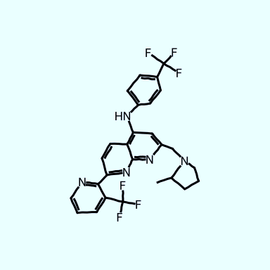 CC1CCCN1Cc1cc(Nc2ccc(C(F)(F)F)cc2)c2ccc(-c3ncccc3C(F)(F)F)nc2n1